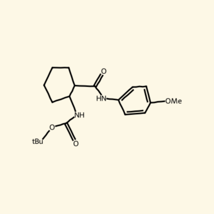 COc1ccc(NC(=O)C2CCCCC2NC(=O)OC(C)(C)C)cc1